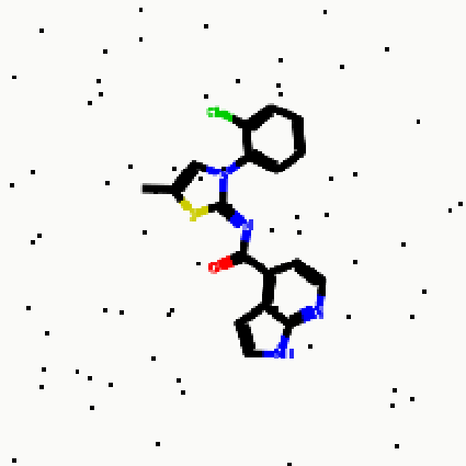 Cc1cn(-c2ccccc2Cl)/c(=N/C(=O)c2ccnc3[nH]ccc23)s1